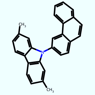 Cc1ccc2c3ccc(C)cc3n(-c3ccc4ccc5ccccc5c4c3)c2c1